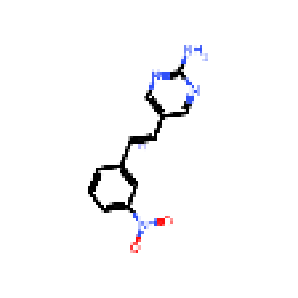 Nc1ncc(/C=C/c2cccc([N+](=O)[O-])c2)cn1